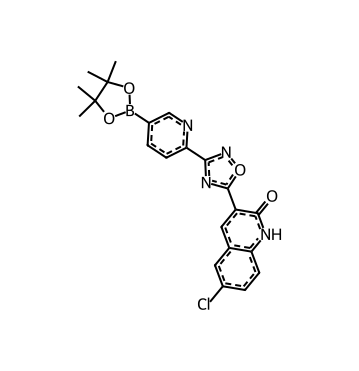 CC1(C)OB(c2ccc(-c3noc(-c4cc5cc(Cl)ccc5[nH]c4=O)n3)nc2)OC1(C)C